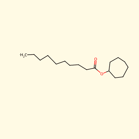 [CH2]CCCCCCCCC(=O)OC1CCCCCC1